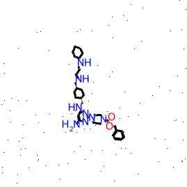 Nc1cc(NC[C@H]2CC[C@H](CNCCCNC3CCCCC3)CC2)nc(N2CCN(C(=O)OCc3ccccc3)CC2)n1